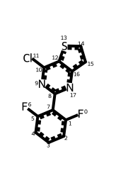 Fc1cccc(F)c1-c1nc(Cl)c2sccc2n1